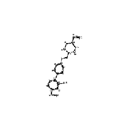 CCCCCCCc1ccc(-c2ccc(CCC3OCC(CCCCCCC)CO3)cc2)c(F)c1